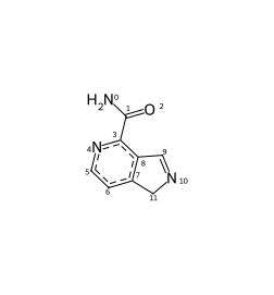 NC(=O)c1nccc2c1C=NC2